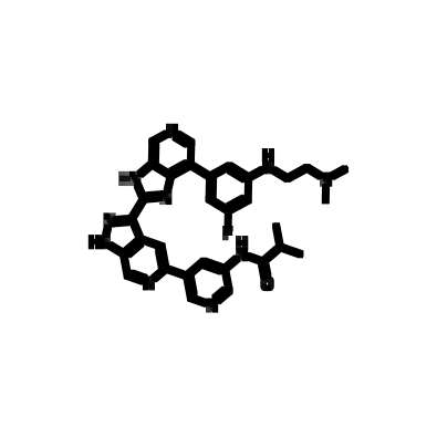 CC(C)C(=O)Nc1cncc(-c2cc3c(-c4nc5c(-c6cc(F)cc(NCCN(C)C)c6)cncc5[nH]4)n[nH]c3cn2)c1